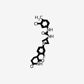 Cc1ccc(NC(=O)NC2CN(c3ccc(C4CCC(=O)NC4=O)c(F)c3)C2)cc1Cl